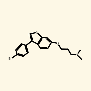 CN(C)CCCOc1ccc2c(-c3ccc(Br)cc3)nsc2c1